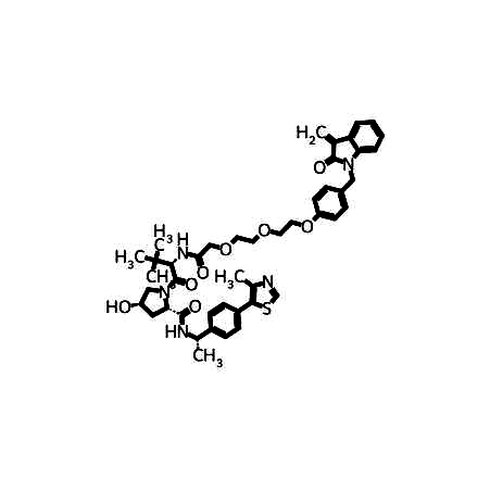 C=C1C(=O)N(Cc2ccc(OCCOCCOCC(=O)N[C@H](C(=O)N3C[C@H](O)C[C@H]3C(=O)N[C@@H](C)c3ccc(-c4scnc4C)cc3)C(C)(C)C)cc2)c2ccccc21